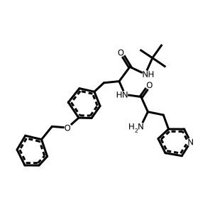 CC(C)(C)NC(=O)C(Cc1ccc(OCc2ccccc2)cc1)NC(=O)C(N)Cc1cccnc1